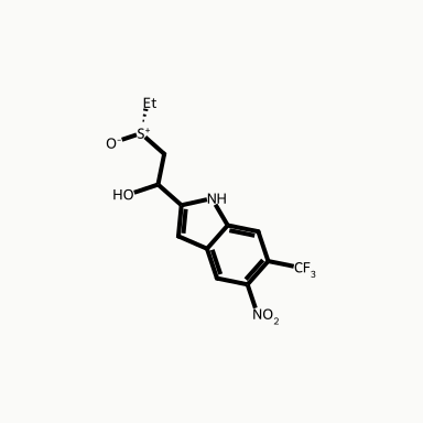 CC[S@@+]([O-])CC(O)c1cc2cc([N+](=O)[O-])c(C(F)(F)F)cc2[nH]1